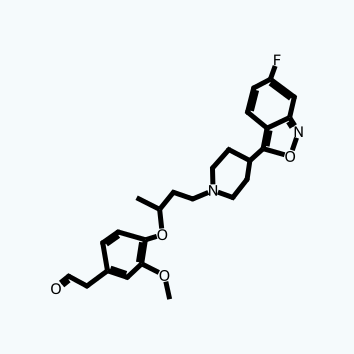 COc1cc(CC=O)ccc1OC(C)CCN1CCC(c2onc3cc(F)ccc23)CC1